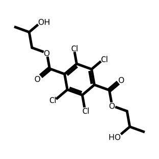 CC(O)COC(=O)c1c(Cl)c(Cl)c(C(=O)OCC(C)O)c(Cl)c1Cl